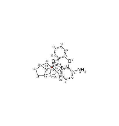 Nc1cccc2c1Oc1ccccc1C2=C1CC2CCC(C1)N2C(=O)C(F)(F)F